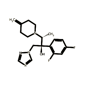 C=C1CCN([C@H](C)[C@@](O)(Cn2cncn2)c2ccc(F)cc2F)CC1